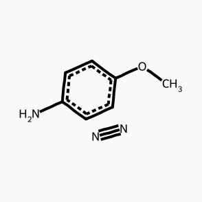 COc1ccc(N)cc1.N#N